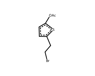 CC(=O)Oc1ccc(CCBr)s1